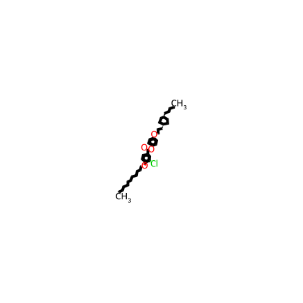 CCCCCCCCCCCCOc1ccc(C(=O)Oc2ccc(OCCC[C@H]3CC[C@H](CCCCC)CC3)cc2)cc1Cl